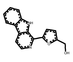 OCc1ccc(-c2nccc3c2[nH]c2ccccc23)o1